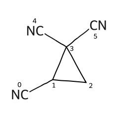 N#CC1CC1(C#N)C#N